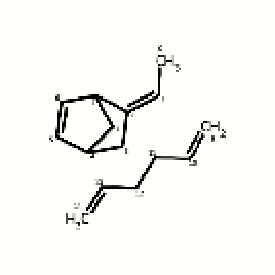 C/C=C1/CC2C=CC1C2.C=CCCC=C